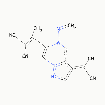 C=NN1C=c2c(=C(C#N)C#N)cnn2C=C1C(C)=C(C#N)C#N